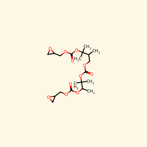 CC(COC(=O)OC(C)(C)C(C)OC(=O)OCC1CO1)C(C)(C)OC(=O)OCC1CO1